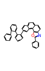 c1ccc(-c2nc3ccc4ccc5ccc(-c6ccccc6-c6ccccc6-c6ccccc6)cc5c4c3o2)cc1